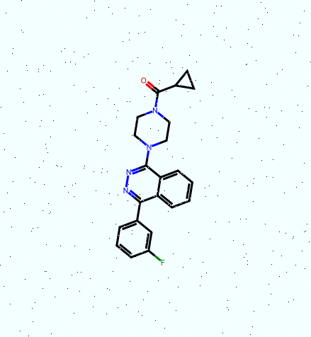 O=C(C1CC1)N1CCN(c2nnc(-c3cccc(F)c3)c3ccccc23)CC1